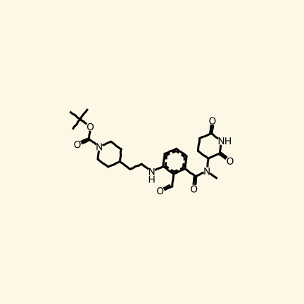 CN(C(=O)c1cccc(NCCC2CCN(C(=O)OC(C)(C)C)CC2)c1C=O)C1CCC(=O)NC1=O